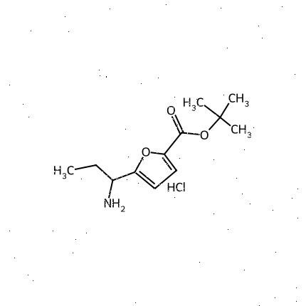 CCC(N)c1ccc(C(=O)OC(C)(C)C)o1.Cl